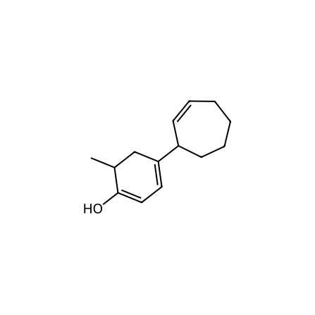 CC1CC(C2C=CCCCC2)=CC=C1O